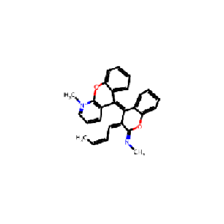 C\C=C/C=c1c(=N\C)\oc2ccccc2c\1=C1/c2ccccc2Oc2c1ccc[n+]2C